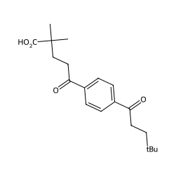 CC(C)(C)CCC(=O)c1ccc(C(=O)CCC(C)(C)C(=O)O)cc1